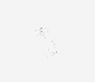 C[C@@H](CCCCNC(=O)N[C@@H](CO)[C@@H](O)[C@H](O)[C@H](O)CO)c1ccc(Cl)c(COC2(c3c[n+](O)ccc3-c3ccccc3OC3CC3)CC2)c1